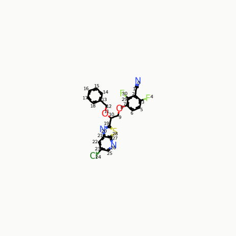 N#Cc1c(F)ccc(OCC(OCc2ccccc2)c2nc3cc(Cl)cnc3s2)c1F